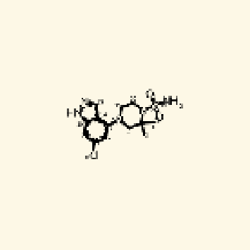 CC1(C)CN(c2cc(Cl)cc3[nH]ncc23)CCN1S(N)(=O)=O